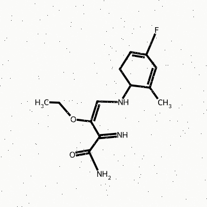 CCO/C(=C/NC1CC=C(F)C=C1C)C(=N)C(N)=O